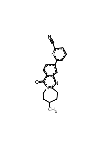 CC1CCc2nc3cc(-c4cccc(C#N)n4)ccc3c(=O)n2CC1